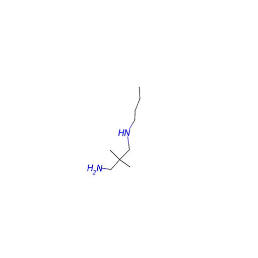 CCCCNCC(C)(C)CN